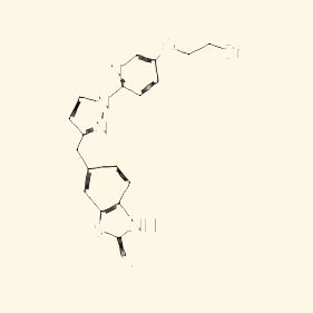 O=c1[nH]c2ccc(Cc3ccn(-c4ccc(OCCBr)cn4)n3)cc2s1